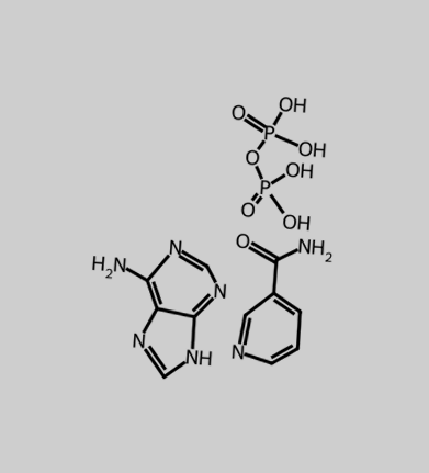 NC(=O)c1cccnc1.Nc1ncnc2[nH]cnc12.O=P(O)(O)OP(=O)(O)O